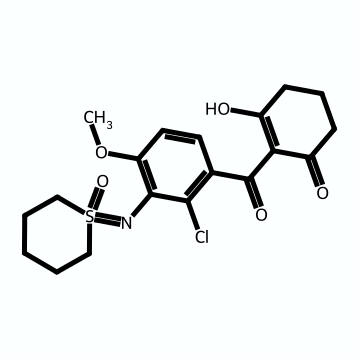 COc1ccc(C(=O)C2=C(O)CCCC2=O)c(Cl)c1N=S1(=O)CCCCC1